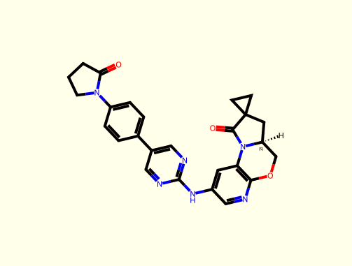 O=C1CCCN1c1ccc(-c2cnc(Nc3cnc4c(c3)N3C(=O)C5(CC5)C[C@H]3CO4)nc2)cc1